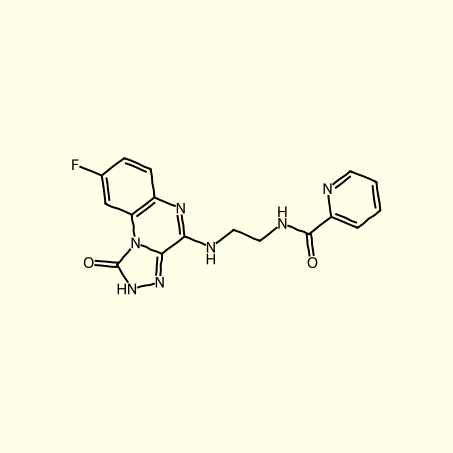 O=C(NCCNc1nc2ccc(F)cc2n2c(=O)[nH]nc12)c1ccccn1